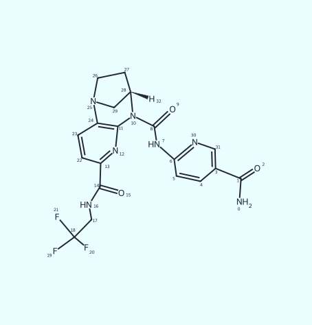 NC(=O)c1ccc(NC(=O)N2c3nc(C(=O)NCC(F)(F)F)ccc3N3CC[C@H]2C3)nc1